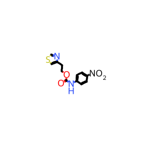 O=C(Nc1ccc([N+](=O)[O-])cc1)OCCc1cscn1